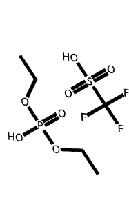 CCOP(=O)(O)OCC.O=S(=O)(O)C(F)(F)F